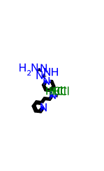 CN(CCc1ccccn1)C1CCN(c2nc(N)n[nH]2)CC1.Cl.Cl.Cl